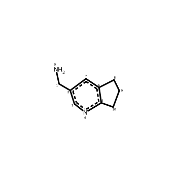 NCc1cnc2c(c1)CCC2